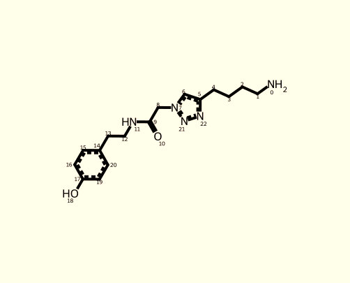 NCCCCc1cn(CC(=O)NCCc2ccc(O)cc2)nn1